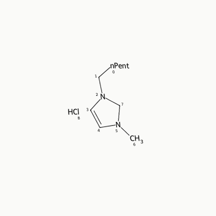 CCCCCCN1C=CN(C)C1.Cl